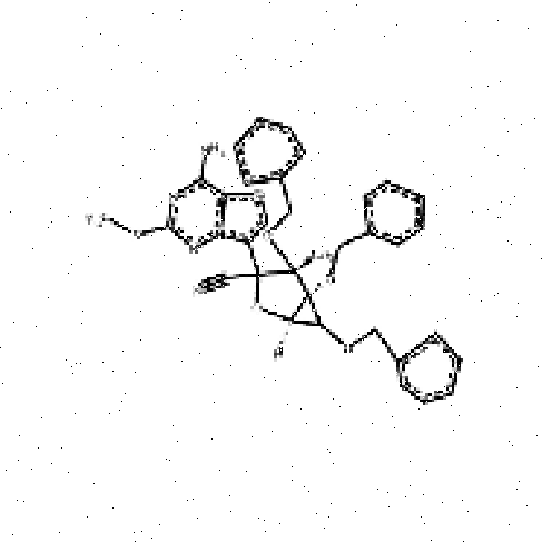 CSc1nc(N)c2ncc(C3(C#N)O[C@@H]4C(OCc5ccccc5)[C@]4(OCc4ccccc4)[C@@]3(C)OCc3ccccc3)n2n1